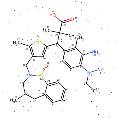 CCN(N)c1ccc(C(c2cc(CN3CC(C)Cc4ccccc4[S+]3[O-])c(C)s2)C(C)(C)C(=O)O)c(C)c1N